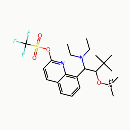 CCN(CC)C(c1cccc2ccc(OS(=O)(=O)C(F)(F)F)nc12)C(O[SiH](C)C)C(C)(C)C